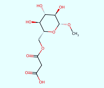 CO[C@@H]1O[C@H](COC(=O)CC(=O)O)[C@@H](O)[C@H](O)[C@H]1O